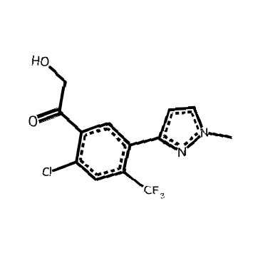 Cn1ccc(-c2cc(C(=O)CO)c(Cl)cc2C(F)(F)F)n1